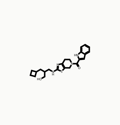 O=C(c1cc2ccccc2[nH]1)N1CCc2nc(NCC(CO)CC3CCC3)sc2C1